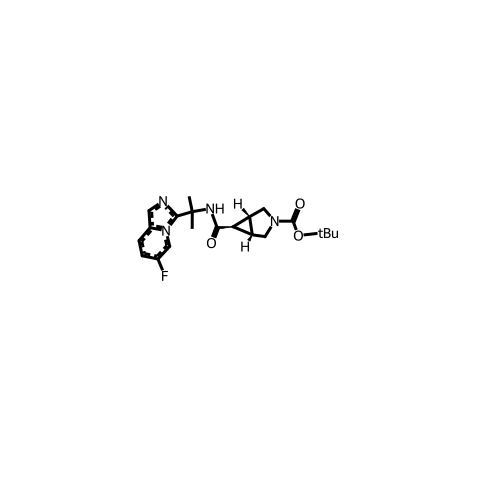 CC(C)(C)OC(=O)N1C[C@@H]2[C@H](C1)[C@H]2C(=O)NC(C)(C)c1ncc2ccc(F)cn12